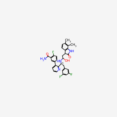 Cc1ccc2c(c1C)NC(=O)C2CC(O)N[C@@H](Cc1cc(F)cc(F)c1)c1ncccc1-c1ccc(F)c(C(N)=O)c1